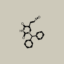 O=N/C=C/c1cn(C(c2ccccc2)c2ccccc2)c(=O)[nH]c1=O